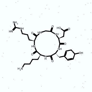 N=C(N)NCCC[C@@H]1NC(=O)[C@H](CCCCN)NC(=O)[C@@H](CC2=CCC(O)C=C2)NC(=O)[C@H](CC(=O)O)NC(=O)CNC1=O